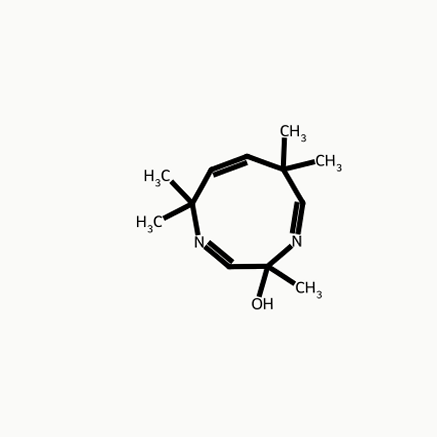 CC1(C)/C=C\C(C)(C)/N=C\C(C)(O)/N=C\1